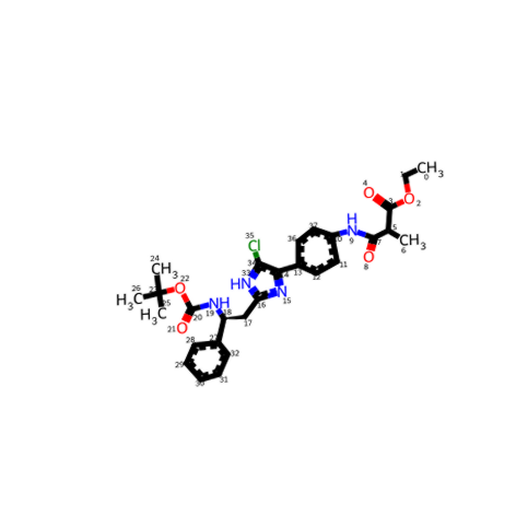 CCOC(=O)C(C)C(=O)Nc1ccc(-c2nc(C[C@H](NC(=O)OC(C)(C)C)c3ccccc3)[nH]c2Cl)cc1